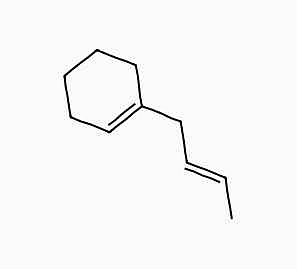 CC=CCC1=CCCCC1